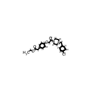 CCOC(=O)Cc1ccc(OCC(=O)N2CCN(Cc3ccc(Cl)cc3)CC2)cc1